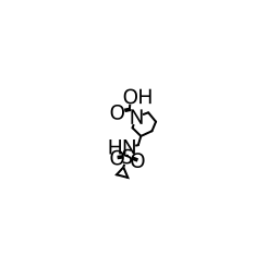 O=C(O)N1CCCC(CNS(=O)(=O)C2CC2)C1